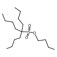 CCCCOS(=O)(=O)C(CCCC)(CCCC)CCCC